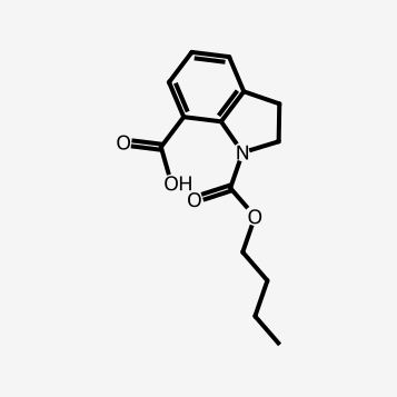 CCCCOC(=O)N1CCc2cccc(C(=O)O)c21